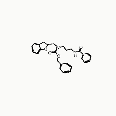 O=C(NCCCN(CC1Cc2ccccc2O1)C(=O)OCc1ccccc1)c1ccccc1